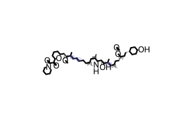 CO[C@@H](CC1CCCC(C(=O)C(=O)N2CCCCC2)O1)/C(C)=C/C=C/CC[C@@H](C)C[C@@H](C)C(=N)C[C@H](O)/C(C)=C/[C@@H](C)CC[C@@H](CC[C@H]1CC[C@H](O)CC1)OC=O